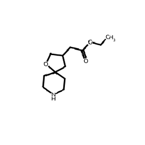 CCOC(=O)CC1COC2(CCNCC2)C1